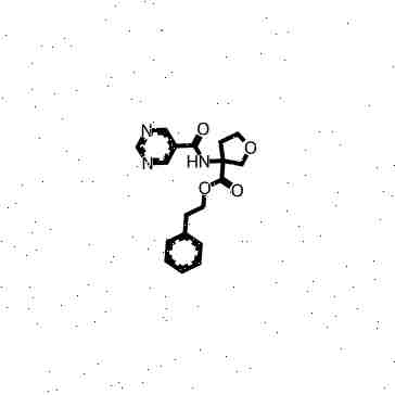 O=C(NC1(C(=O)OCCc2ccccc2)CCOC1)c1cncnc1